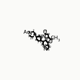 CC(=O)N1CCN(c2ccc(-c3cc(O[C@H](C)[C@H]4CNC(=O)C4)c4ccnn4c3)cc2)CC1